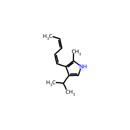 C/C=C\C=C/c1c(C(C)C)c[nH]c1C